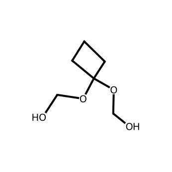 OCOC1(OCO)CCC1